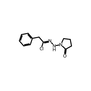 O=C1CCCN1NN=C(Cl)Cc1ccccc1